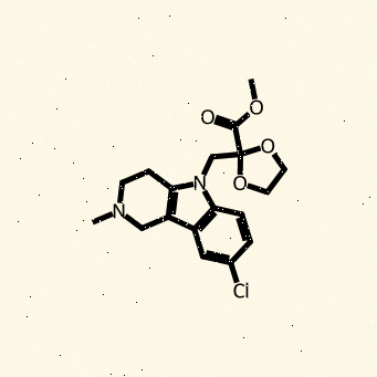 COC(=O)C1(Cn2c3c(c4cc(Cl)ccc42)CN(C)CC3)OCCO1